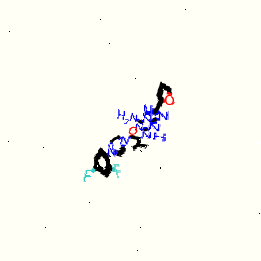 CC(C)[C@H](Nc1nc(N)n2nc(-c3ccco3)nc2n1)C(=O)N1CCN(c2ccc(F)cc2F)CC1